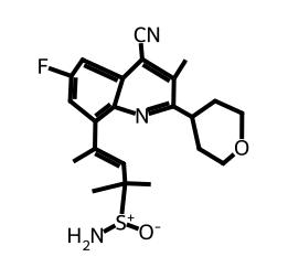 CC(=CC(C)(C)[S+](N)[O-])c1cc(F)cc2c(C#N)c(C)c(C3CCOCC3)nc12